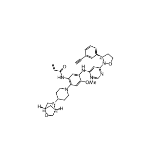 C#Cc1cccc([C@H]2CCON2c2cc(Nc3cc(NC(=O)C=C)c(N4CCC(N5C[C@@H]6C[C@H]5CO6)CC4)cc3OC)ncn2)c1